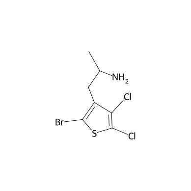 CC(N)Cc1c(Br)sc(Cl)c1Cl